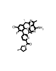 Cc1nc([C@@H](C)c2cc(Cl)c(F)c(-c3ccc(C(=O)N4CC[C@@H](C)C4)nc3)c2OC(C)C)n2ccnc(N)c12